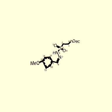 CCCCCCCCCCCCS(=O)(=O)N/N=C\c1ccc(OC)cc1